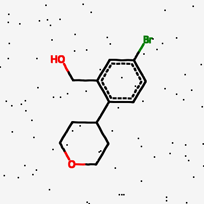 OCc1cc(Br)ccc1C1CCOCC1